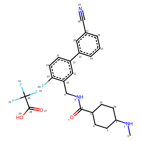 CNC1CCC(C(=O)NCc2cc(-c3cccc(C#N)c3)ccc2F)CC1.O=C(O)C(F)(F)F